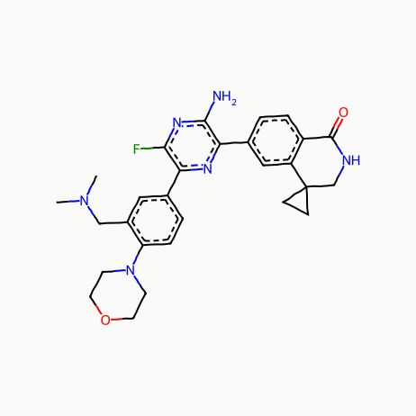 CN(C)Cc1cc(-c2nc(-c3ccc4c(c3)C3(CC3)CNC4=O)c(N)nc2F)ccc1N1CCOCC1